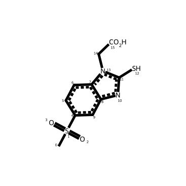 CS(=O)(=O)c1ccc2c(c1)nc(S)n2CC(=O)O